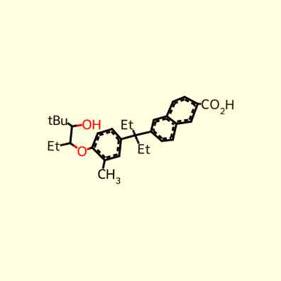 CCC(Oc1ccc(C(CC)(CC)c2ccc3cc(C(=O)O)ccc3c2)cc1C)C(O)C(C)(C)C